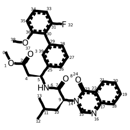 COC(=O)C[C@H](NC(=O)[C@H](CC(C)C)n1cnc2ccccc2c1=O)c1cccc(-c2c(F)cccc2OC)c1